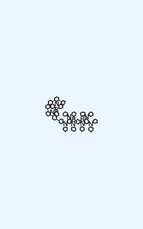 c1ccc(-c2cccc(-c3ccccc3)c2N2c3ccccc3B3c4ccccc4N(c4c(-c5ccccc5)cccc4-c4ccc(-c5ccc(N(c6ccccc6)c6cc7c8c(c6)N(c6ccccc6)c6cc9c(cc6B8c6ccccc6N7c6ccccc6)B6c7ccccc7N(c7ccccc7)c7cc(N(c8ccccc8)c8ccccc8)cc(c76)N9c6ccccc6)cc5)cc4)c4cccc2c43)cc1